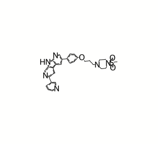 CS(=O)(=O)N1CCN(CCCOc2ccc(-c3cnc4[nH]c5cnc(-c6cccnc6)cc5c4c3)cc2)CC1